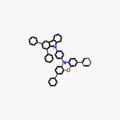 C1=CC(c2ccc3c(c2)Oc2cc(-c4ccccc4)ccc2N3c2ccc(-n3c4ccccc4c4cc(-c5ccccc5)cc(-c5ccccc5)c43)cc2)=CCC1